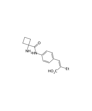 CCC(=Cc1ccc(NC(=O)C2(N)CCC2)cc1)C(=O)O